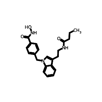 CCCC(=O)NCCc1cn(Cc2ccc(C(=O)NO)cc2)c2ccccc12